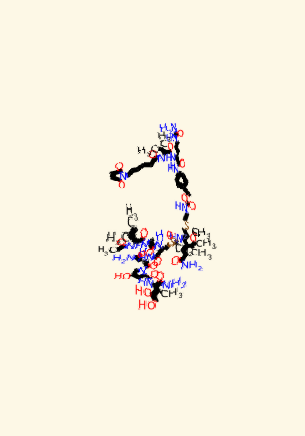 C=C(N/C(=C\CSCCNC(=O)OCc1ccc(NC(=O)[C@H](CCCNC(N)=O)NC(=O)[C@@H](NC(=O)CCCCCN2C(=O)C=CC2=O)C(C)C)cc1)C(CCC(N)=O)C(C)C(C)OC)[S+]([O-])C[C@H](NC(=O)CNC(=O)[C@H](NC(=O)CC)[C@@H](C)CC)C(=O)N[C@@H](CC(N)=O)C(=O)N1C[C@H](O)C[C@@H]1C(=O)N[C@H](C(N)=O)[C@@H](C)[C@@H](O)CO